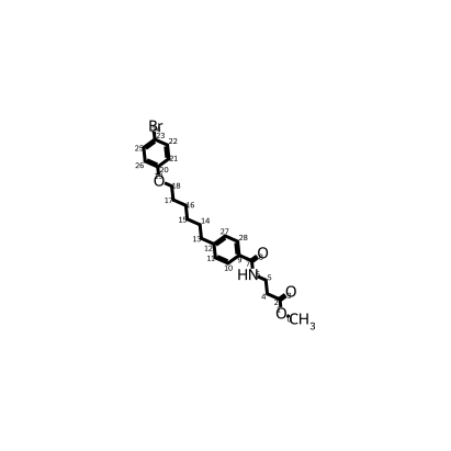 COC(=O)CCNC(=O)c1ccc(CCCCCCOc2ccc(Br)cc2)cc1